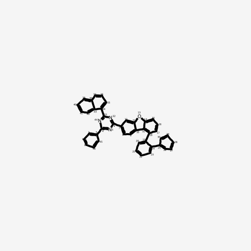 c1ccc(-c2nc(-c3ccc4c(c3)oc3cccc(-c5ccccc5-c5ccccc5)c34)nc(-c3cccc4ccccc34)n2)cc1